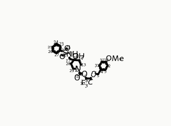 COc1ccc(COC[C@@H](OC(=O)N2CCC(O)(CNS(=O)(=O)c3ccccc3)CC2)C(F)(F)F)cc1